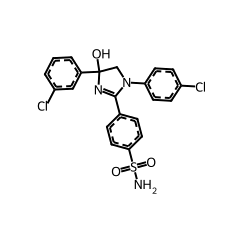 NS(=O)(=O)c1ccc(C2=NC(O)(c3cccc(Cl)c3)CN2c2ccc(Cl)cc2)cc1